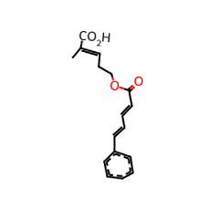 CC(=CCCOC(=O)C=CC=Cc1ccccc1)C(=O)O